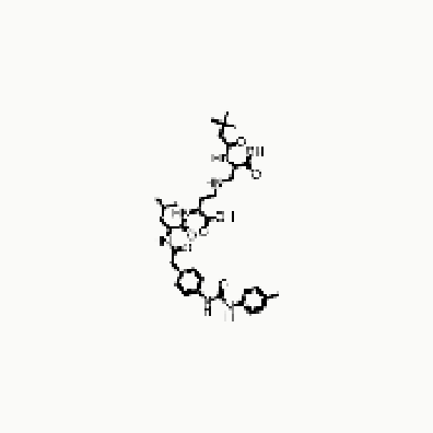 Cc1ccc(NC(=O)Nc2ccc(CC(=O)NC(CC(C)C)C(=O)NC(CCNCC(NC(=O)CC(C)(C)C)C(=O)O)C(=O)O)cc2)cc1